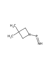 CC1(C)CN(P=N)C1